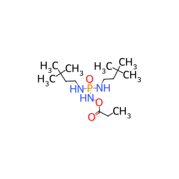 CCC(=O)ONP(=O)(NCCC(C)(C)C)NCCC(C)(C)C